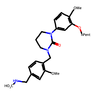 CCCCCOc1cc(N2CCCN(Cc3ccc(CNC(=O)O)cc3OC)C2=O)ccc1OC